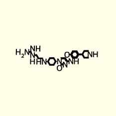 N=C(N)NCCCN[C@H]1CC[C@H](n2cc3c(nc2=O)Nc2cc(C4CCNCC4)ccc2O3)CC1